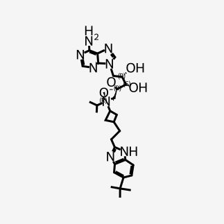 CC(C)[N@+]([O-])(C[C@H]1OC(n2cnc3c(N)ncnc32)[C@H](O)[C@@H]1O)C1CC(CCc2nc3cc(C(C)(C)C)ccc3[nH]2)C1